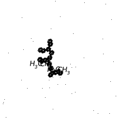 CC1(C)C2=C(C=CCC2)c2cc3c4cc(C5=CCCC(C6=CC(C7=CCC8CCC=CC8=C7)=CC(C7C=CC8=CC=CCC8C7)C6)=C5)ccc4n(-c4ccc(-c5ccc(-n6c7c(c8cc9c(cc86)C(C)(C)c6ccccc6-9)=CCCC=7)cc5)cc4)c3cc21